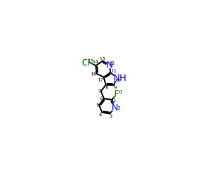 Fc1ncccc1Cc1c[nH]c2ncc(Cl)cc12